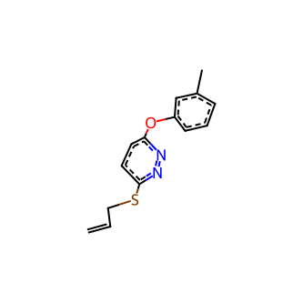 C=CCSc1ccc(Oc2cccc(C)c2)nn1